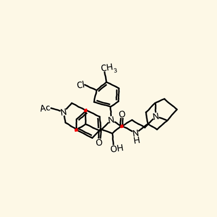 CC(=O)N1CCC(C(=O)N(CCCN2C3CCC2CC(NC(=O)C(O)c2ccccc2)C3)c2ccc(C)c(Cl)c2)CC1